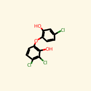 Oc1cc(Cl)ccc1Oc1ccc(Cl)c(Cl)c1O